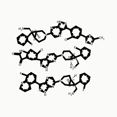 Cc1nc(-c2ccc(-c3n[nH]c4nc(N5CC[C@@H]6[C@H](C5)[C@@]6(CN)c5ccccc5F)cnc34)c(Cl)c2)no1.NC[C@]1(c2ccccc2F)[C@@H]2CCN(c3cnc4c(-c5cc6c(cc5Cl)NC(=O)C6=O)n[nH]c4n3)C[C@@H]21.NC[C@]1(c2ccccc2F)[C@@H]2CCN(c3cnc4c(-c5ccc(F)c6ncccc56)n[nH]c4n3)C[C@@H]21